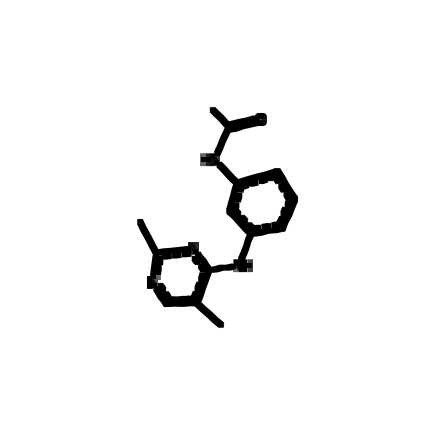 CC(=O)Nc1cccc(Nc2nc(C)ncc2C)c1